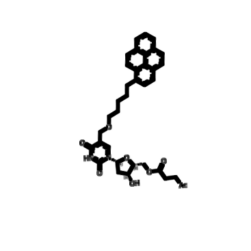 CC(=O)CCC(=O)OC[C@H]1O[C@@H](n2cc(COCCCCCc3ccc4ccc5cccc6ccc3c4c56)c(=O)[nH]c2=O)C[C@@H]1O